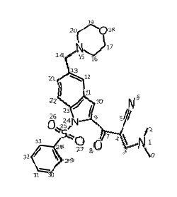 CN(C)/C=C(\C#N)C(=O)c1cc2cc(CN3CCOCC3)ccc2n1S(=O)(=O)c1ccccc1